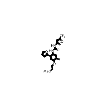 COCCOc1cc(-c2ccco2)c(NC(=O)Nc2cc(C(F)(F)F)on2)cc1F